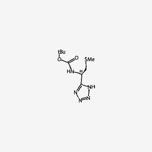 CSC[C@H](NC(=O)OC(C)(C)C)c1nnn[nH]1